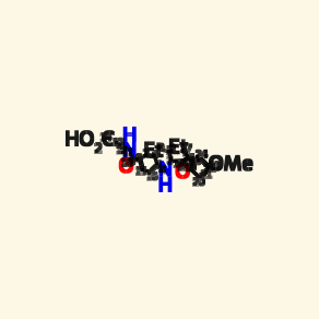 CCC(CC)C(Nc1ccc(C(=O)NCCC(=O)O)cc1)c1oc2ccc(OC)cc2c1C